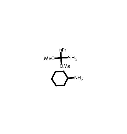 CCCC([SiH3])(OC)OC.NC1CCCCC1